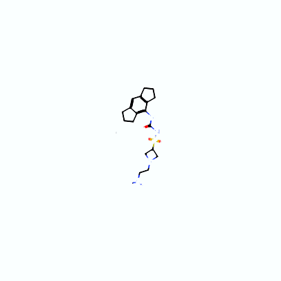 CN(C)CCN1CC(S(=O)(=O)NC(=O)Nc2c3c(cc4c2CCC4)CCC3)C1.[K]